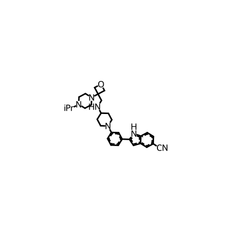 CC(C)N1CCN(C2(CNC3CCN(c4cccc(-c5cc6cc(C#N)ccc6[nH]5)c4)CC3)COC2)CC1